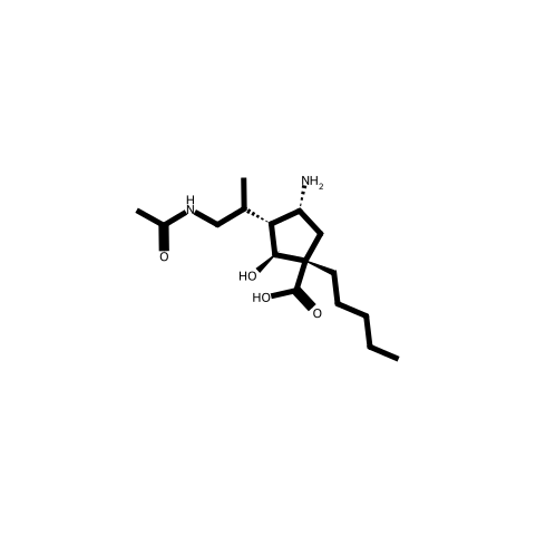 CCCCC[C@]1(C(=O)O)C[C@@H](N)[C@@H](C(C)CNC(C)=O)[C@@H]1O